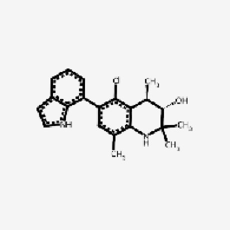 Cc1cc(-c2cccc3cc[nH]c23)c(Cl)c2c1NC(C)(C)[C@@H](O)[C@@H]2C